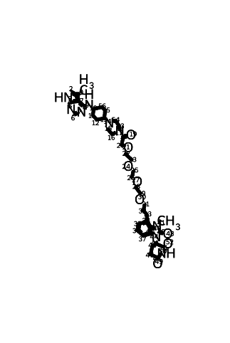 Cc1c[nH]c2ncnc(N[C@H]3CC[C@H](N4CCN(C(=O)COCCOCCOCCOCCCc5cccc6c5n(C)c(=O)n6C5CCC(=O)NC5=O)CC4)CC3)c12